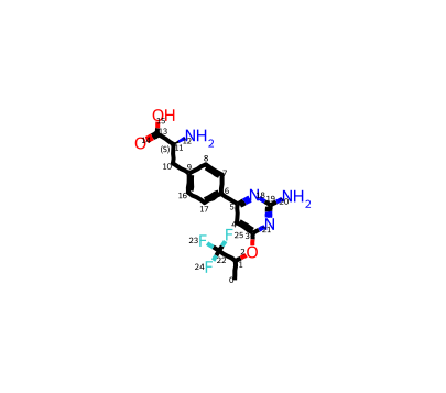 CC(Oc1cc(-c2ccc(C[C@H](N)C(=O)O)cc2)nc(N)n1)C(F)(F)F